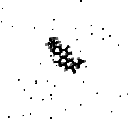 Cc1nc(N[C@H](C)c2cccc(S(F)(F)(F)(F)F)c2)c2cn(C3(C)CC3)c(=O)cc2n1